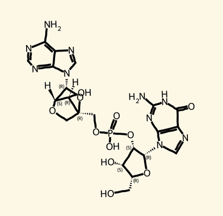 Nc1nc2c(ncn2[C@@H]2O[C@H](CO)[C@H](O)[C@@H]2OP(=O)(O)OC[C@@]23CO[C@H]([C@H](n4cnc5c(N)ncnc54)O2)[C@H]3O)c(=O)[nH]1